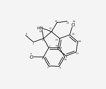 CCC1(c2ccccc2Cl)NC1(CC)c1ccccc1Cl